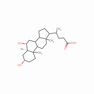 CC(CCC(=O)O)C1CCC2C3C[C@H](O)[C@@H]4C[C@H](O)CCC4(C)C3CCC12C